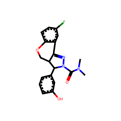 CN(C)C(=O)N1N=C2c3cc(F)ccc3OCC2C1c1cccc(O)c1